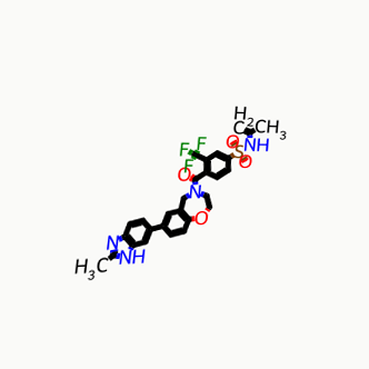 C=C(C)NS(=O)(=O)c1ccc(C(=O)N2CCOc3ccc(-c4ccc5nc(C)[nH]c5c4)cc3C2)c(C(F)(F)F)c1